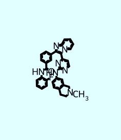 CN1CCc2ccc(Nc3nccc(-c4c(-c5cccc(C(=O)Nc6ccccc6F)c5)nc5ccccn45)n3)cc2C1